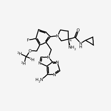 [2H]C([2H])([2H])OCc1c(F)ccc(N2CC[C@](N)(C(=O)NC3CC3)C2)c1Cn1cnc2c(N)ncnc21